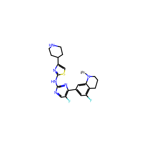 CC(C)N1CCCc2c(F)cc(-c3nc(Nc4nc(C5CCNCC5)cs4)ncc3F)cc21